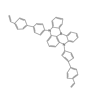 C=Cc1ccc(-c2ccc(N3c4ccccc4B4c5ccccc5N(c5ccc(-c6ccc(C=C)cc6)cc5)c5cccc3c54)cc2)cc1